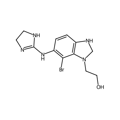 OCCN1CNc2ccc(NC3=NCCN3)c(Br)c21